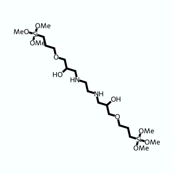 CO[Si](CCCOCC(O)CNCCNCC(O)COCCC[Si](OC)(OC)OC)(OC)OC